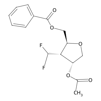 CC(=O)O[C@H]1CO[C@H](COC(=O)c2ccccc2)[C@H]1C(F)F